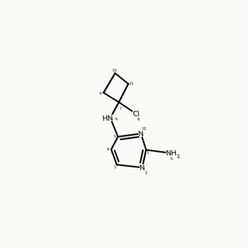 Nc1nccc(NC2(Cl)CCC2)n1